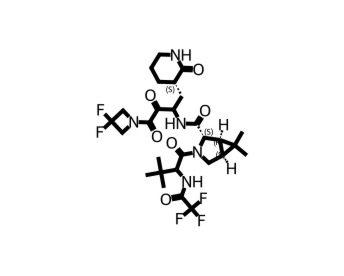 CC(C)(C)C(NC(=O)C(F)(F)F)C(=O)N1C[C@H]2[C@@H]([C@H]1C(=O)NC(C[C@@H]1CCCNC1=O)C(=O)C(=O)N1CC(F)(F)C1)C2(C)C